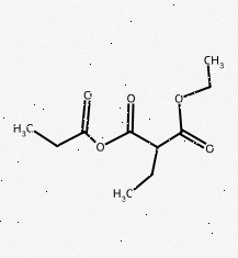 CCOC(=O)C(CC)C(=O)OC(=O)CC